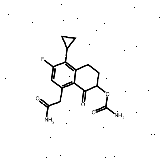 NC(=O)Cc1cc(F)c(C2CC2)c2c1C(=O)C(OC(N)=O)CC2